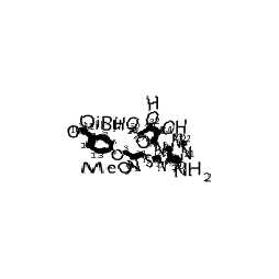 CON=C(COc1ccc(C(=O)OCC(C)C)cc1)CSc1nc2c(N)ncnc2n1[C@@H]1O[C@H](CO)[C@@H](O)[C@H]1O